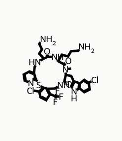 CN1C(=O)C(CCCCN)NC(=O)C(CCCN)NCc2cccnc2Sc2c(Cl)ccc(C(F)(F)F)c2CNC(=O)C1Cc1c[nH]c2ccc(Cl)cc12